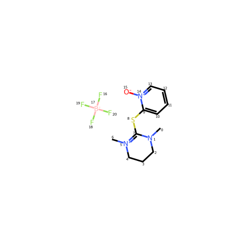 CN1CCC[N+](C)=C1Sc1cccc[n+]1[O-].F[B-](F)(F)F